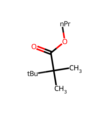 CCCOC(=O)C(C)(C)C(C)(C)C